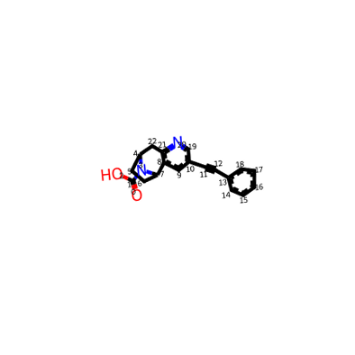 O=C(O)N1C2CCC1c1cc(C#Cc3ccccc3)cnc1C2